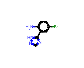 Nc1ccc(Br)cc1-c1ncn[nH]1